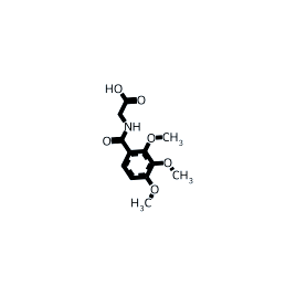 COc1ccc(C(=O)NCC(=O)O)c(OC)c1OC